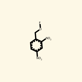 O=[N+]([O-])c1ccc(COF)c([N+](=O)[O-])c1